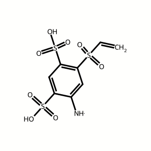 C=CS(=O)(=O)c1cc([NH])c(S(=O)(=O)O)cc1S(=O)(=O)O